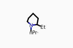 CC[CH]N1CCCCC1CC